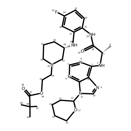 C[C@H](Nc1ncnc2c1ncn2C1CCCCO1)C(=O)Nc1ccc(F)cc1N[C@H]1CCCN(CCOC(=O)C(C)(C)C)C1